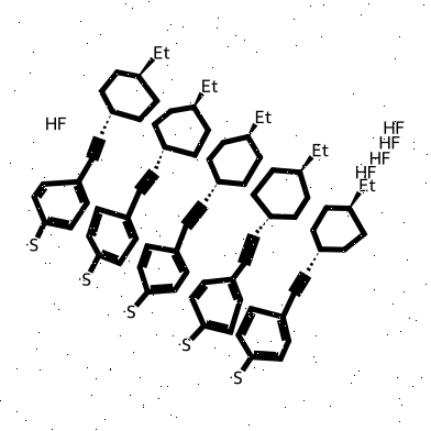 CC[C@H]1CC[C@H](C#Cc2ccc([S])cc2)CC1.CC[C@H]1CC[C@H](C#Cc2ccc([S])cc2)CC1.CC[C@H]1CC[C@H](C#Cc2ccc([S])cc2)CC1.CC[C@H]1CC[C@H](C#Cc2ccc([S])cc2)CC1.CC[C@H]1CC[C@H](C#Cc2ccc([S])cc2)CC1.F.F.F.F.F